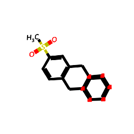 CS(=O)(=O)c1ccc2c(c1)C1C3=C(CCC=C3)C2c2ccccc21